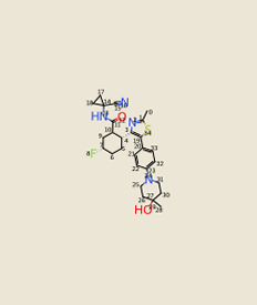 Cc1nc([C@@H]2CC[C@H](F)CC2C(=O)NC2(C#N)CC2)c(-c2ccc(N3CCC(C)(O)CC3)cc2)s1